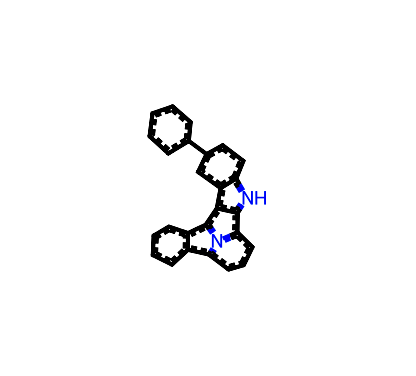 c1ccc(-c2ccc3[nH]c4c(c3c2)c2c3ccccc3c3cccc4n32)cc1